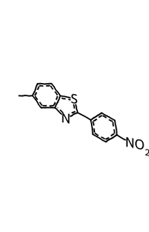 Cc1ccc2sc(-c3ccc([N+](=O)[O-])cc3)nc2c1